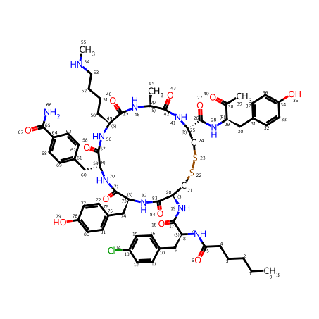 CCCCCC(=O)N[C@@H](Cc1ccc(Cl)cc1)C(=O)N[C@@H]1CSSC[C@@H](C(=O)N[C@H](Cc2ccc(O)cc2)C(C)=O)NC(=O)[C@H](C)NC(=O)[C@H](CCCCNC)NC(=O)[C@@H](Cc2ccc(C(N)=O)cc2)NC(=O)[C@H](Cc2ccc(O)cc2)NC1=O